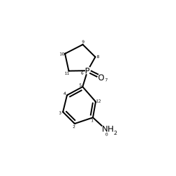 Nc1cccc(P2(=O)CCCC2)c1